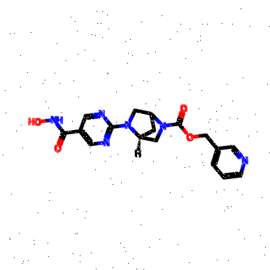 O=C(NO)c1cnc(N2CC3C[C@H]2CN3C(=O)OCc2cccnc2)nc1